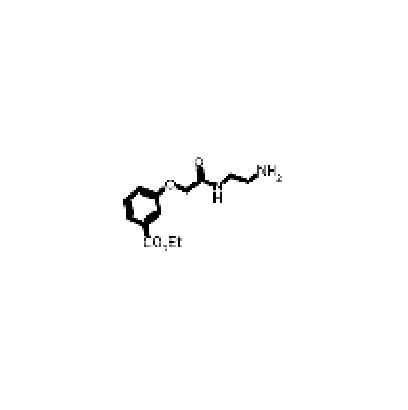 CCOC(=O)c1cccc(OCC(=O)NCCN)c1